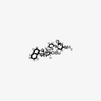 CC(C)COC(=O)[C@H](C)NP(=O)(OC[C@@H]1CC[C@H](n2ccc(N)nc2=O)S1)Oc1cccc2ccccc12